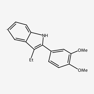 CCc1c(-c2ccc(OC)c(OC)c2)[nH]c2cc[c]cc12